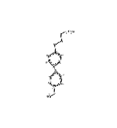 O=C(O)CCCc1ccc(-c2ccc(CO)cc2)cc1